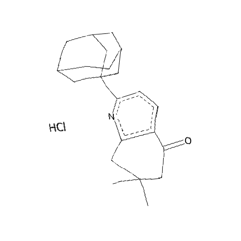 CC1(C)CC(=O)c2ccc(C34CC5CC(CC(C5)C3)C4)nc2C1.Cl